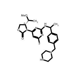 COC(C)[C@H]1COC(=O)N1c1cc(F)nc(NC(C)c2ccc(CN3CCNCC3)cc2)n1